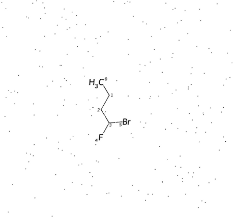 CCCC(F)Br